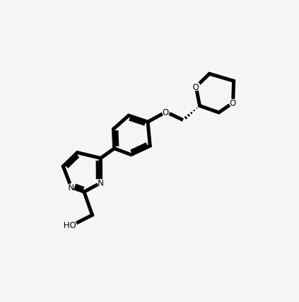 OCc1nccc(-c2ccc(OC[C@H]3COCCO3)cc2)n1